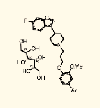 COc1cc(C(C)=O)ccc1OCCCN1CCC(c2noc3cc(F)ccc23)CC1.OC[C@@H](O)[C@@H](O)[C@H](O)[C@H](O)CO